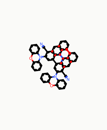 N#Cc1cc(N2c3ccccc3Oc3ccccc32)c(-c2cc(N3c4ccccc4Oc4ccccc43)c(C#N)cc2N2c3ccccc3Oc3ccccc32)cc1N1c2ccccc2Oc2ccccc21